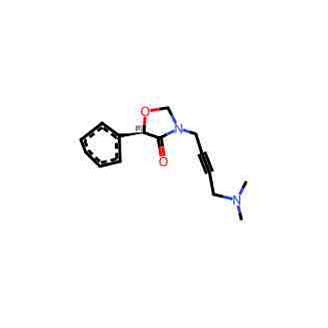 CN(C)CC#CCN1CO[C@H](c2ccccc2)C1=O